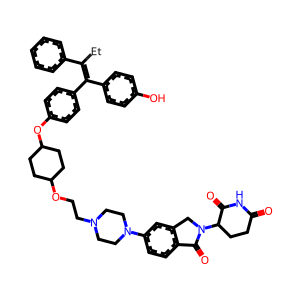 CC/C(=C(\c1ccc(O)cc1)c1ccc(OC2CCC(OCCN3CCN(c4ccc5c(c4)CN(C4CCC(=O)NC4=O)C5=O)CC3)CC2)cc1)c1ccccc1